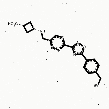 CC(C)Cc1ccc(-c2nc(-c3ncc(CN[C@H]4C[C@@H](C(=O)O)C4)cn3)no2)cc1